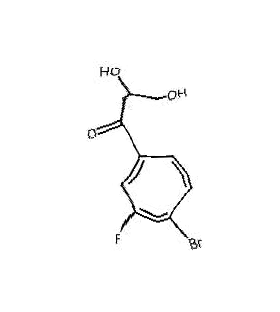 O=C(c1ccc(Br)c(F)c1)C(O)O